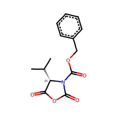 CC(C)[C@H]1C(=O)OC(=O)N1C(=O)OCc1ccccc1